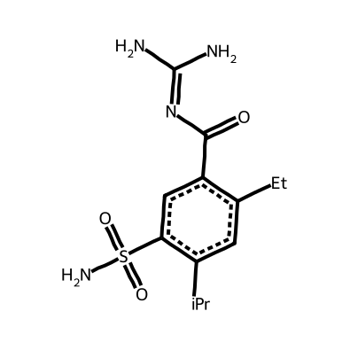 CCc1cc(C(C)C)c(S(N)(=O)=O)cc1C(=O)N=C(N)N